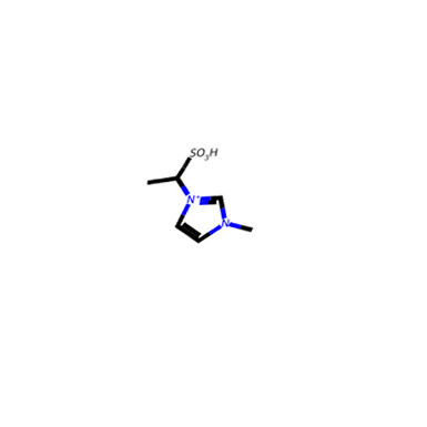 CC([n+]1ccn(C)c1)S(=O)(=O)O